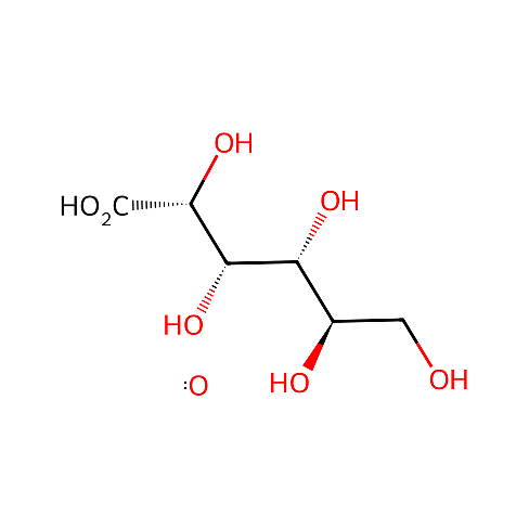 O=C(O)[C@H](O)[C@@H](O)[C@H](O)[C@H](O)CO.[O]